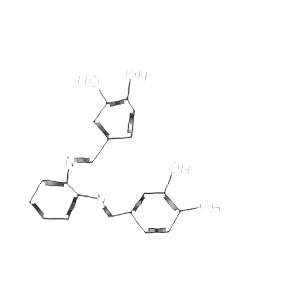 Oc1ccc(C=Nc2ccccc2N=Cc2ccc(O)c(O)c2)cc1O